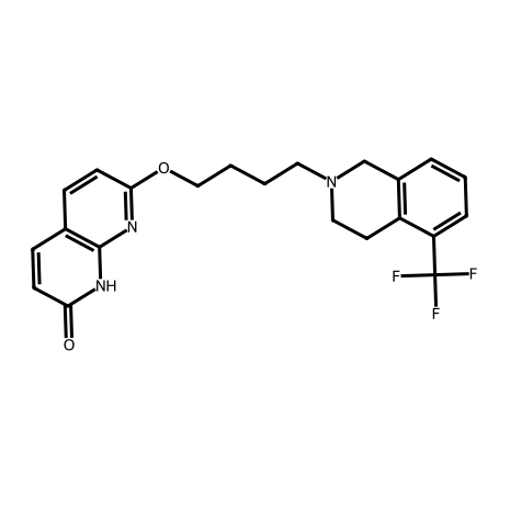 O=c1ccc2ccc(OCCCCN3CCc4c(cccc4C(F)(F)F)C3)nc2[nH]1